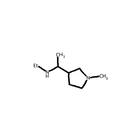 CCNC(C)C1CCN(C)C1